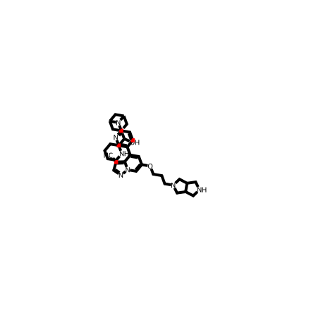 N#Cc1cnn2cc(OCCCN3CC4CNCC4C3)cc(-c3ccc(N4C5CC4CN(C(O)C4CCCCN4)C5)nc3)c12